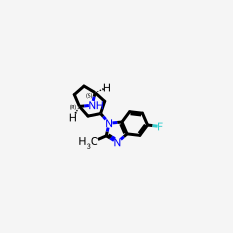 Cc1nc2cc(F)ccc2n1C1C[C@H]2CC[C@@H](C1)N2